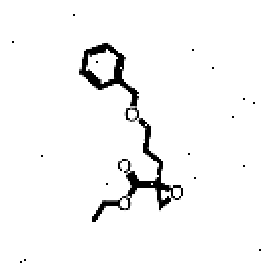 CCOC(=O)C1(CCCOCc2ccccc2)CO1